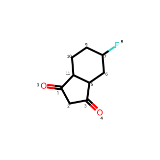 O=C1CC(=O)C2CC(F)CCC12